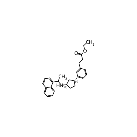 CCOC(=O)CCc1cccc([C@@H]2CC[C@@H](NC(C)c3cccc4ccccc34)C2)c1